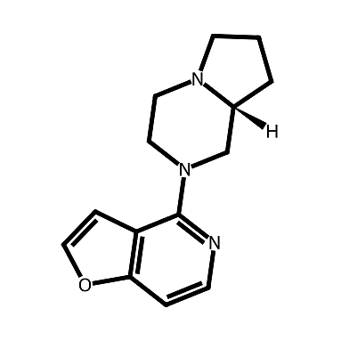 c1cc2occc2c(N2CCN3CCC[C@@H]3C2)n1